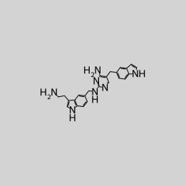 NCCc1c[nH]c2ccc(CNc3ncc(Cc4ccc5[nH]ccc5c4)c(N)n3)cc12